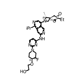 CCS(=O)(=O)C[C@H]1CN(c2cnc(C(C)C)c3cc(Nc4ccnc(N5CC[C@H](OCCO)[C@H](F)C5)n4)ncc23)[C@@H]1C